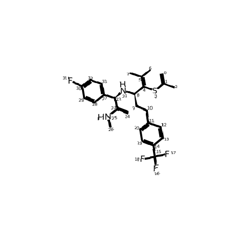 C=C(C)SC(=C(C)C)[C@@H](CCc1ccc(C(F)(F)F)cc1)N[C@@H](C(=C)NC)c1ccc(F)cc1